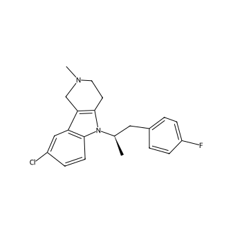 C[C@H](Cc1ccc(F)cc1)n1c2c(c3cc(Cl)ccc31)CN(C)CC2